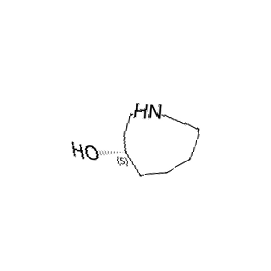 O[C@H]1CCCCNC1